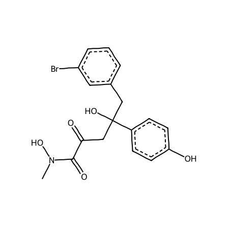 CN(O)C(=O)C(=O)CC(O)(Cc1cccc(Br)c1)c1ccc(O)cc1